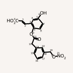 O=C(O)C=Cc1cc(O)ccc1OC(=O)Cc1cccc(CO[N+](=O)[O-])c1